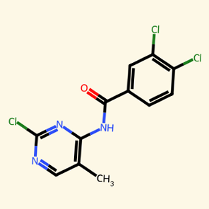 Cc1cnc(Cl)nc1NC(=O)c1ccc(Cl)c(Cl)c1